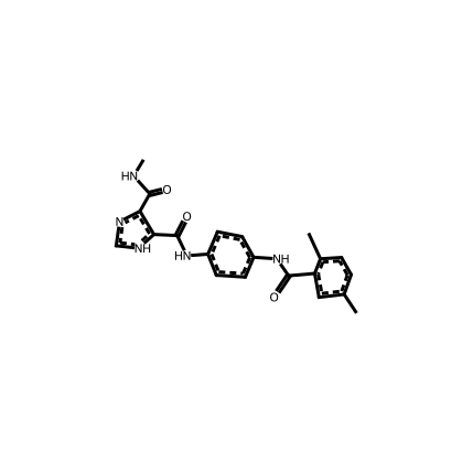 CNC(=O)c1nc[nH]c1C(=O)Nc1ccc(NC(=O)c2cc(C)ccc2C)cc1